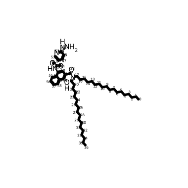 CCCCCCCCCCCCCCCCCCN(CCCCCCCCCCCCCCCCCC)C(=O)c1cc(NS(=O)(=O)c2ccc(NN)nc2)c2ccccc2c1O